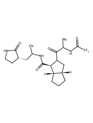 CC(C)(C)C(NC(=O)C(F)(F)F)C(=O)N1C[C@@H]2CCC[C@@H]2[C@H]1C(=O)NC(C#N)C[C@@H]1CCNC1=O